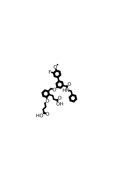 COc1ccc(-c2cc(OCc3cccc(OCCCC(=O)O)c3CCC(=O)O)cc(C(=O)NCc3ccccc3)c2)cc1F